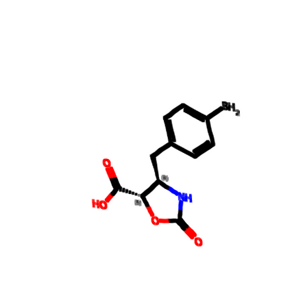 Bc1ccc(C[C@H]2NC(=O)O[C@@H]2C(=O)O)cc1